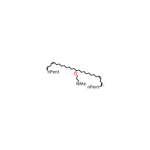 CCCCC/C=C\C/C=C\CCCCCCCCC(CCCCCCCC/C=C\C/C=C\CCCCC)OCCCNC